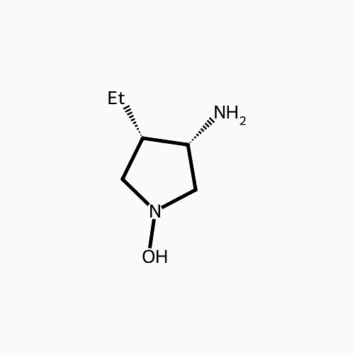 CC[C@H]1CN(O)C[C@H]1N